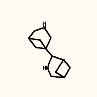 C1NCC2(C3NCC4C[C]3C4)CC1C2